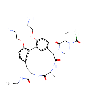 C[C@@H]1NC(=O)[C@@H](N(C)C(=O)[C@H](CC#N)NC(=O)Cl)c2ccc(OCCN)c(c2)-c2cc(ccc2OCCN)C[C@@H](C(=O)NCC#N)NC1=O